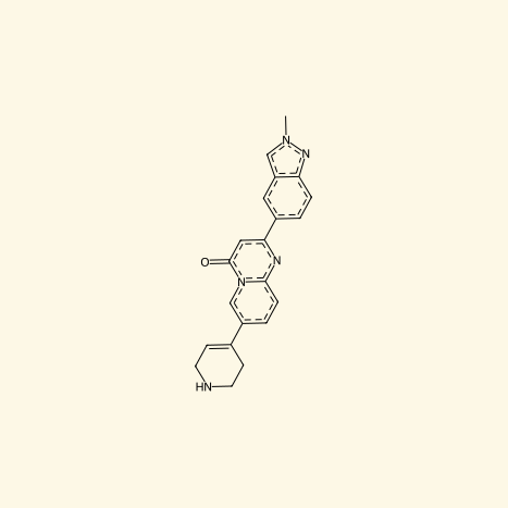 Cn1cc2cc(-c3cc(=O)n4cc(C5=CCNCC5)ccc4n3)ccc2n1